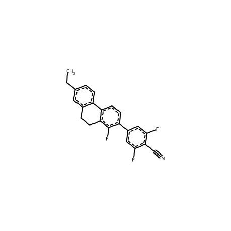 CCc1ccc2c(c1)CCc1c-2ccc(-c2cc(F)c(C#N)c(F)c2)c1F